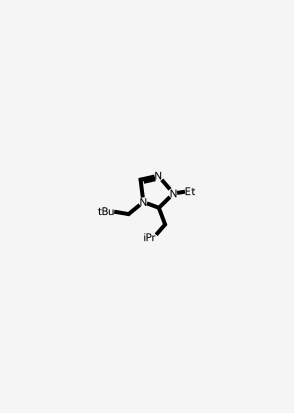 CCN1N=CN(CC(C)(C)C)C1CC(C)C